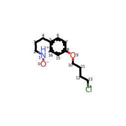 [O-][NH+]1CCCc2ccc(OCCCCCl)cc21